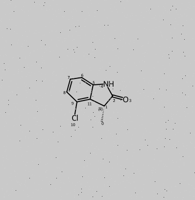 C[C@H]1C(=O)Nc2cccc(Cl)c21